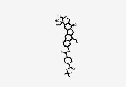 CCc1c2c(nc3ccc(OC(=O)N4CCN(C(=O)OC(C)(C)C)CC4)cc13)-c1cc3c(c(=O)n1C2)COC(=O)[C@]3(O)CC